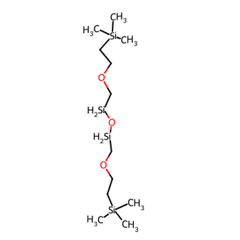 C[Si](C)(C)CCOC[SiH2]O[SiH2]COCC[Si](C)(C)C